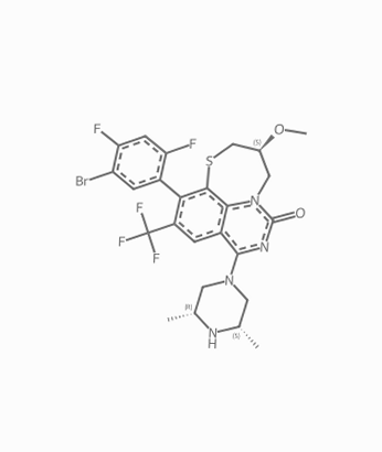 CO[C@@H]1CSc2c(-c3cc(Br)c(F)cc3F)c(C(F)(F)F)cc3c(N4C[C@@H](C)N[C@@H](C)C4)nc(=O)n(c23)C1